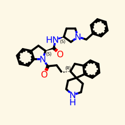 O=C(N[C@H]1CCN(Cc2ccccc2)C1)[C@@H]1Cc2ccccc2N1C(=O)CC[C@@H]1Cc2ccccc2C12CCNCC2